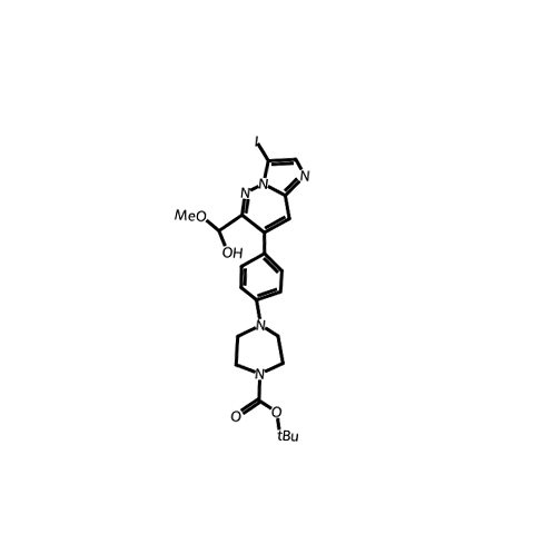 COC(O)c1nn2c(I)cnc2cc1-c1ccc(N2CCN(C(=O)OC(C)(C)C)CC2)cc1